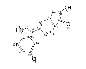 CN1Cc2cc(-c3c[nH]c4ncc(Cl)cc34)ccc2C1=O